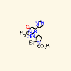 CCC1[C@H](Nc2nc(-c3ccncn3)cc(=O)n2C)CCCN1C(=O)O